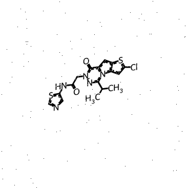 CC(C)c1nn(CC(=O)Nc2cncs2)c(=O)c2cc3sc(Cl)cc3n12